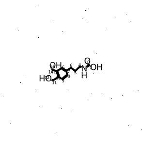 O=C(O)NCCCc1ccc(CO)c(CO)c1